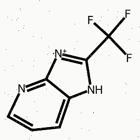 FC(F)(F)C1=[N+]c2ncccc2N1